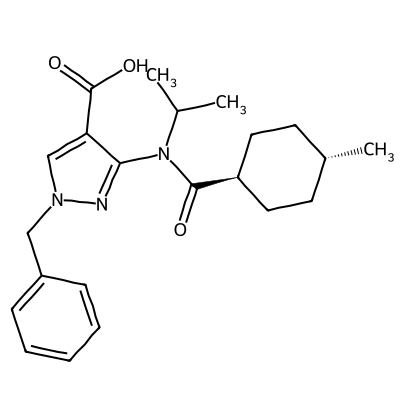 CC(C)N(c1nn(Cc2ccccc2)cc1C(=O)O)C(=O)[C@H]1CC[C@H](C)CC1